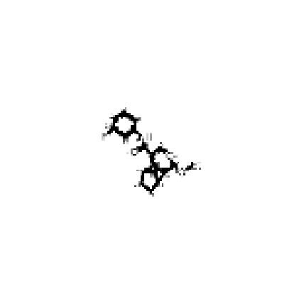 CCOc1ccc(C(=O)Nc2cccc(F)c2)c2c1C1CCC2C1